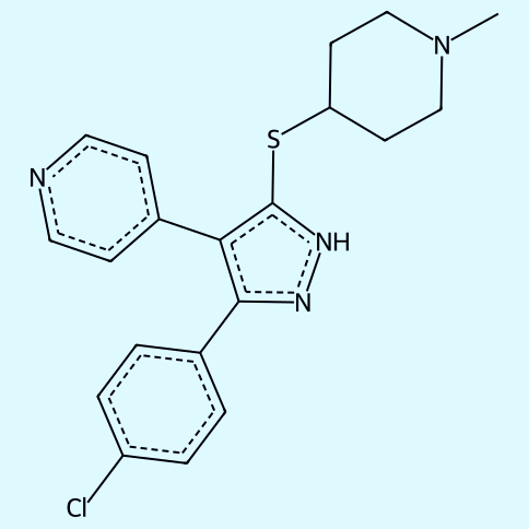 CN1CCC(Sc2[nH]nc(-c3ccc(Cl)cc3)c2-c2ccncc2)CC1